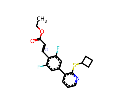 CCOC(=O)/C=C/c1c(F)cc(-c2cccnc2SC2CCC2)cc1F